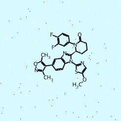 COc1cnc(-n2c([C@@H]3CCCC(=O)N3c3ccc(F)c(F)c3)nc3cc(-c4c(C)noc4C)ccc32)s1